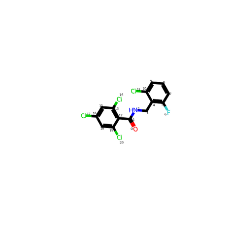 O=C(NCc1c(F)cccc1Cl)c1c(Cl)cc(Cl)cc1Cl